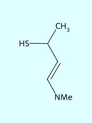 CNC=CC(C)S